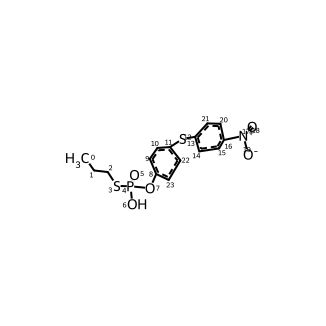 CCCSP(=O)(O)Oc1ccc(Sc2ccc([N+](=O)[O-])cc2)cc1